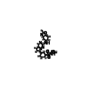 Cc1nc2cc(Nc3ncc4ccc(-c5cccc(S(=O)(=O)NC(C)(C)C)c5)n4n3)ccc2o1